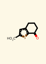 O=C(O)c1cc2c(s1)C(=O)CCC2